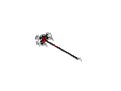 CCCCN(CCC(NC(=O)OC(C)(C)C)(N(CCC)C(=O)OC(C)(C)C)N(CCCCCCCCCCCCCCCCCCCCCCCCCCCCCCCCCCCCN)C(=O)OC(C)(C)C)C(=O)OC(C)(C)C